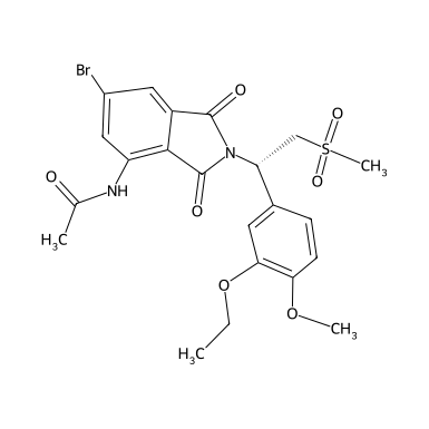 CCOc1cc([C@@H](CS(C)(=O)=O)N2C(=O)c3cc(Br)cc(NC(C)=O)c3C2=O)ccc1OC